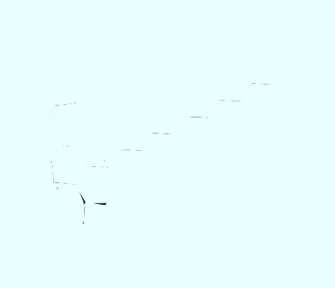 CO[C@@H]1[C@H](NCCCCCCCCCC(=O)O)CC[C@]2(CO2)[C@H]1[C@@]1(C)O[C@@H]1CC=C(C)C